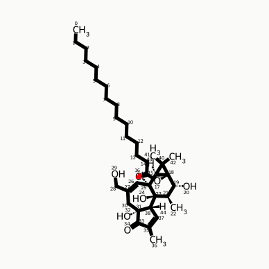 CCCCCCCCCCCCCCCC(=O)O[C@@]12[C@H](O)[C@@H](C)[C@@]3(O)[C@@H](C=C(CO)C[C@]4(O)C(=O)C(C)=C[C@@H]34)[C@H]1C2(C)C